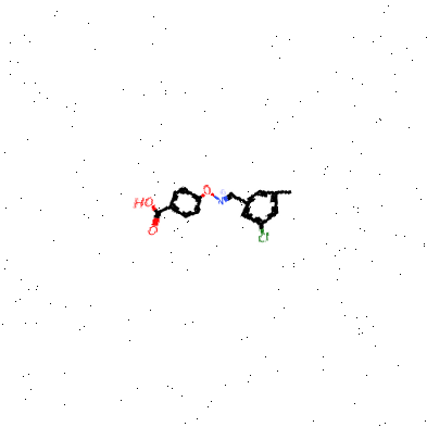 Cc1cc(Cl)cc(/C=N/Oc2ccc(C(=O)O)cc2)c1